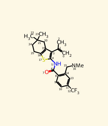 C=C(C)c1c(NC(=O)c2ccc(C(F)(F)F)cc2CNC)sc2c1CC(C)(C)CC2